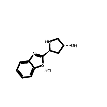 Cl.O[C@H]1CN[C@H](c2nc3ccccc3s2)C1